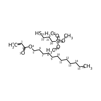 C=CC(=O)OCCCCCCCCCCCC.CO[Si](CCCS)(OC)OC